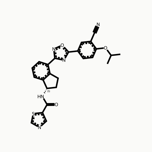 CC(C)Oc1ccc(-c2nc(-c3cccc4c3CC[C@@H]4NC(=O)c3cncs3)no2)cc1C#N